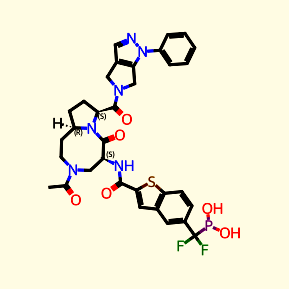 CC(=O)N1CC[C@H]2CC[C@@H](C(=O)N3Cc4cnn(-c5ccccc5)c4C3)N2C(=O)[C@@H](NC(=O)c2cc3cc(C(F)(F)P(O)O)ccc3s2)C1